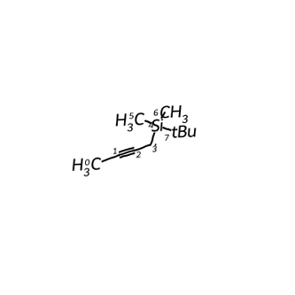 CC#C[CH][Si](C)(C)C(C)(C)C